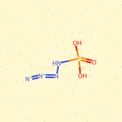 [N-]=[N+]=NNP(=O)(O)O